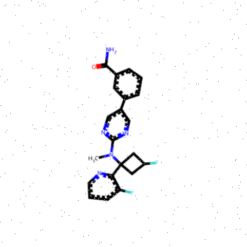 CN(c1ncc(-c2cccc(C(N)=O)c2)cn1)C1(c2ncccc2F)CC(F)C1